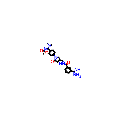 CN(C)/C(=N/S(C)(=O)=O)c1ccc(N2CC(CNC(=O)c3cccc(C(=N)N)c3)CC2=O)cc1